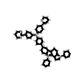 c1ccc(-n2ccc3c2ccc2c4cc(-c5ccc(N(c6ccc(-c7ccccn7)cc6)c6ccc(-c7ncccn7)cc6)cc5)ccc4n(-c4ccccc4)c23)cc1